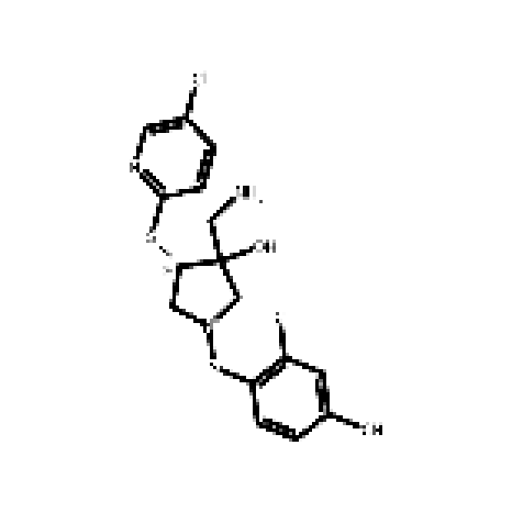 N#Cc1ccc(SN2C[C@H](Sc3ccc(Cl)cn3)C(O)(CN)C2)c(Cl)c1